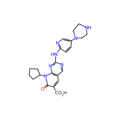 O=C(O)c1cc2cnc(Nc3ccc(N4CCNCC4)cn3)nc2n(C2CCCC2)c1=O